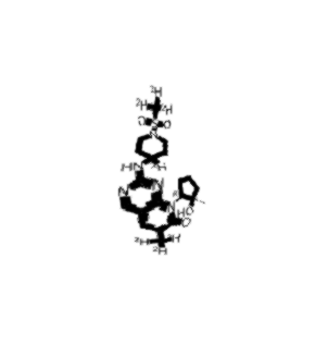 [2H]C1(Nc2ncc3cc(C([2H])([2H])[2H])c(=O)n([C@@H]4CCC[C@@]4(C)O)c3n2)CCN(S(=O)(=O)C([2H])([2H])[2H])CC1